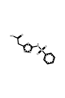 O=C(O)Cc1nnc(NS(=O)(=O)c2ccccc2)s1